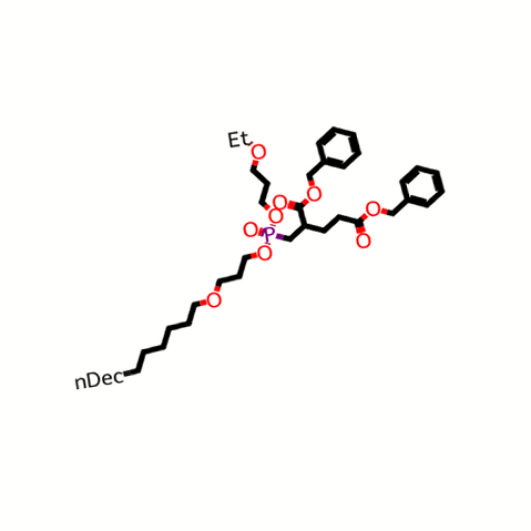 CCCCCCCCCCCCCCCCOCCCOP(=O)(CC(CCC(=O)OCc1ccccc1)C(=O)OCc1ccccc1)OCCCOCC